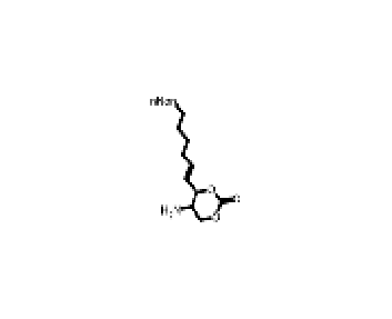 CCCCCCCCCCCCCC=CC1OC(=O)OCC1N